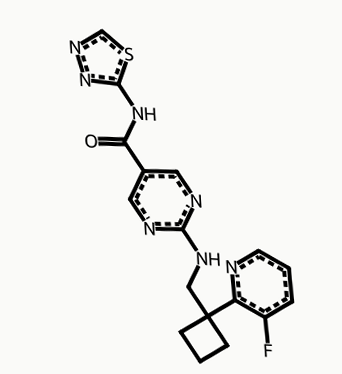 O=C(Nc1nncs1)c1cnc(NCC2(c3ncccc3F)CCC2)nc1